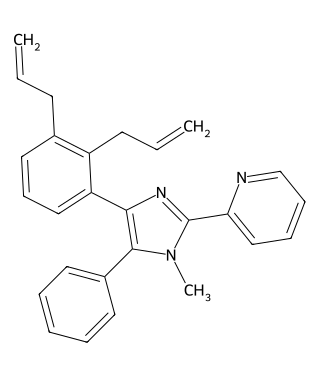 C=CCc1cccc(-c2nc(-c3ccccn3)n(C)c2-c2ccccc2)c1CC=C